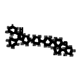 c1ccc(C2Nc3cc(-c4ccc(-c5ccc(-c6ccc7c8c(cccc68)-c6ccccc6O7)cc5)cc4)ccc3N2c2ccccc2)cc1